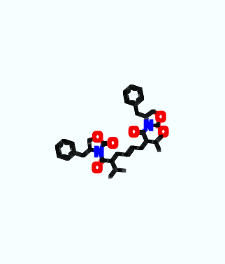 CC(C)C(CC=CCC(C(=O)N1C(=O)OCC1Cc1ccccc1)C(C)C)C(=O)N1C(=O)OCC1Cc1ccccc1